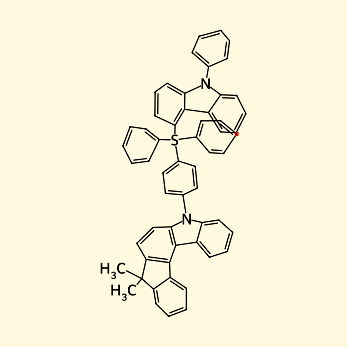 CC1(C)c2ccccc2-c2c1ccc1c2c2ccccc2n1-c1ccc(S(c2ccccc2)(c2ccccc2)c2cccc3c2c2ccccc2n3-c2ccccc2)cc1